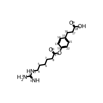 N=C(N)NCCCCCC(=O)Oc1ccc(CCC(=O)O)cc1